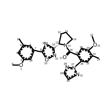 COc1cc(C)cc(-c2nc([C@@H]3CCCN3C(=O)c3cc(OC)c(C)cc3-n3nccn3)no2)c1